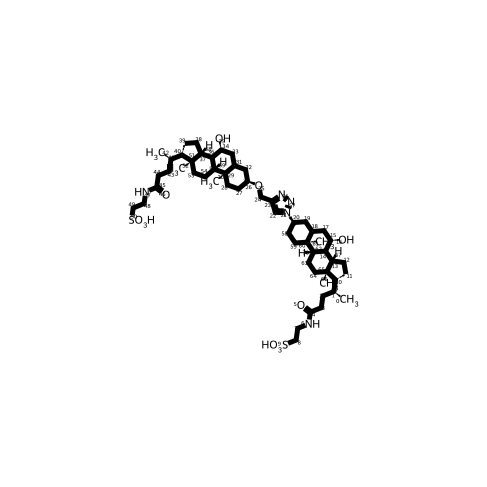 C[C@H](CCC(=O)NCCS(=O)(=O)O)[C@H]1CC[C@H]2C3[C@@H](O)CC4C[C@H](n5cc(CO[C@H]6CC[C@]7(C)C(C6)C[C@@H](O)C6[C@H]8CC[C@@H]([C@@H](C)CCC(=O)NCCS(=O)(=O)O)[C@]8(C)CC[C@H]67)nn5)CC[C@]4(C)[C@H]3CC[C@]12C